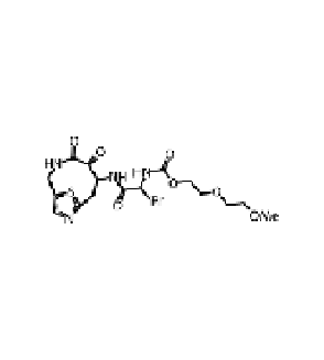 COCCOCCOC(=O)NC(C(=O)NC1Cc2ncc(s2)CNC(=O)C1=O)C(C)C